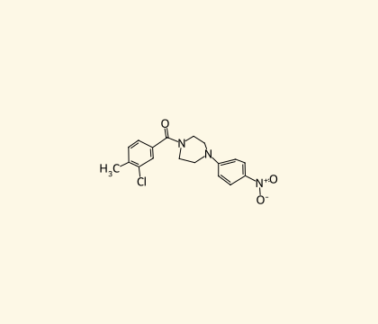 Cc1ccc(C(=O)N2CCN(c3ccc([N+](=O)[O-])cc3)CC2)cc1Cl